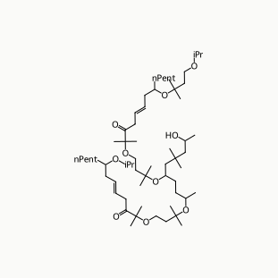 CCCCCC(C/C=C/CC(=O)C(C)(C)OCCC(C)(C)OC(C)CCC(CC(C)(C)CC(C)O)OC(C)(C)CCOC(C)(C)C(=O)C/C=C/CC(CCCCC)OC(C)(C)CCOC(C)C)OC(C)C